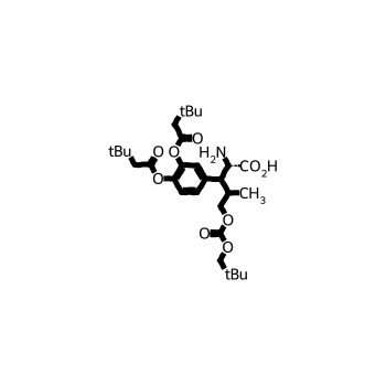 CC(COC(=O)OCC(C)(C)C)C(c1ccc(OC(=O)CC(C)(C)C)c(OC(=O)CC(C)(C)C)c1)[C@H](N)C(=O)O